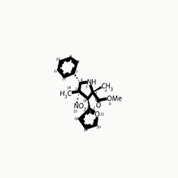 COC(=O)[C@@]1(C)N[C@@H](c2ccccc2)[C@@](C)([N+](=O)[O-])[C@@H]1c1ccco1